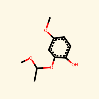 COc1ccc(O)c(OC(C)OC)c1